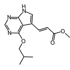 COC(=O)C=Cc1c[nH]c2ncnc(OCC(C)C)c12